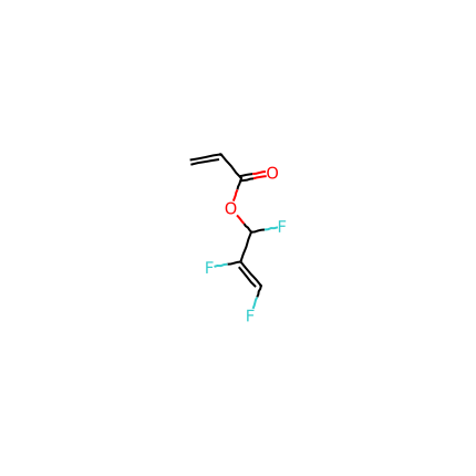 C=CC(=O)OC(F)C(F)=CF